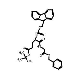 CC(C)(C)OC(=O)CCC(NC(=O)OCC1c2ccccc2-c2ccccc21)C(=O)NCC(=O)OCc1ccccc1